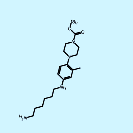 Cc1cc(NCCCCCCN)ccc1N1CCN(C(=O)OC(C)(C)C)CC1